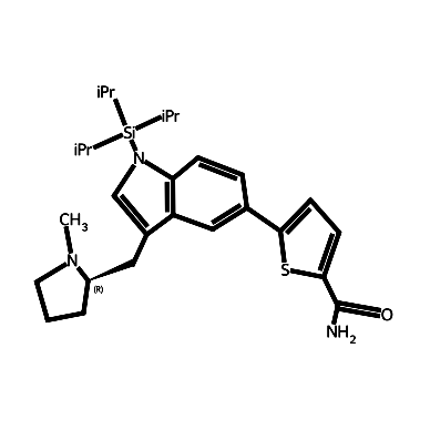 CC(C)[Si](C(C)C)(C(C)C)n1cc(C[C@H]2CCCN2C)c2cc(-c3ccc(C(N)=O)s3)ccc21